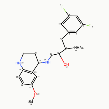 CC(=O)NC(Cc1cc(F)cc(F)c1)C(O)CNC1CCNc2ccc(OC(C)(C)C)cc21